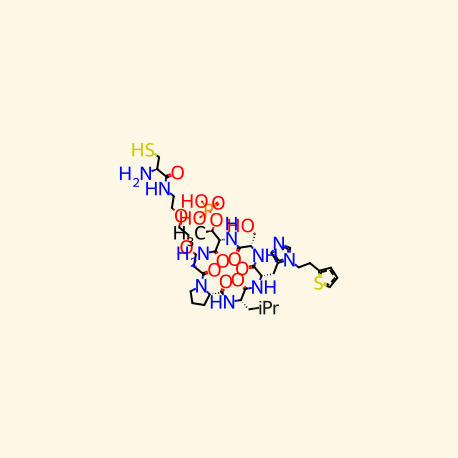 CC(C)C[C@H](NC(=O)[C@@H]1CCCN1C(=O)CCOCCOCCNC(=O)[C@@H](N)CS)C(=O)N[C@@H](Cc1cncn1CCc1cccs1)C(=O)N[C@@H](CO)C(=O)N[C@H](C(N)=O)[C@@H](C)OP(=O)(O)O